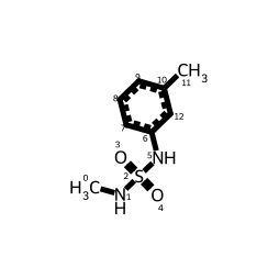 CNS(=O)(=O)Nc1cccc(C)c1